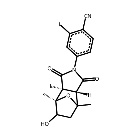 CC12CC(O)[C@](C)(O1)[C@H]1C(=O)N(c3ccc(C#N)c(I)c3)C(=O)[C@@H]12